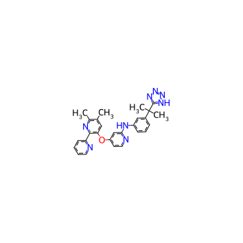 Cc1cc(Oc2ccnc(Nc3cccc(C(C)(C)c4nnn[nH]4)c3)c2)c(-c2ccccn2)nc1C